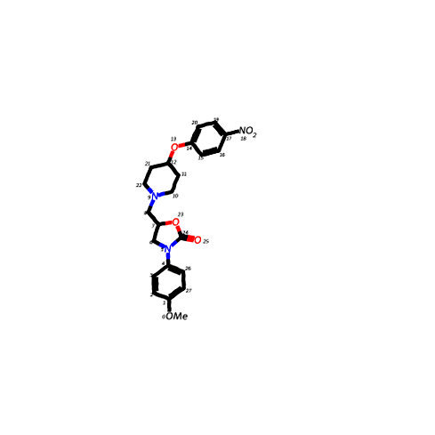 COc1ccc(N2CC(CN3CCC(Oc4ccc([N+](=O)[O-])cc4)CC3)OC2=O)cc1